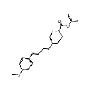 C=C(C)OC(=O)N1CCC(CC/C=C/c2ccc(SC)cc2)CC1